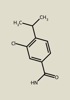 CC(C)c1ccc(C([NH])=O)cc1Cl